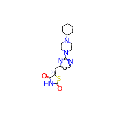 O=C1NC(=O)/C(=C/c2ccnc(N3CCN(C4CCCCC4)CC3)n2)S1